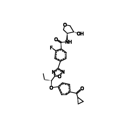 CC[C@@H](Oc1ccc(C(=O)C2CC2)cc1)c1nc(-c2ccc(C(=O)N[C@H]3COC[C@@H]3O)c(F)c2)no1